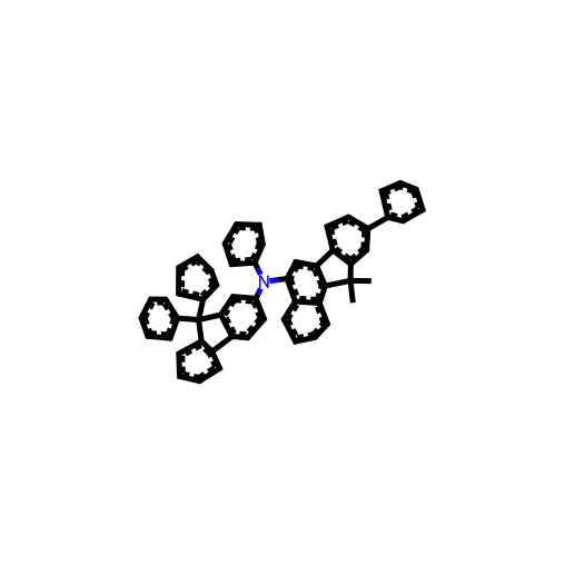 CC1(C)c2cc(-c3ccccc3)ccc2-c2cc(N(c3ccccc3)c3ccc4c(c3)C(c3ccccc3)(c3ccccc3)c3ccccc3-4)c3ccccc3c21